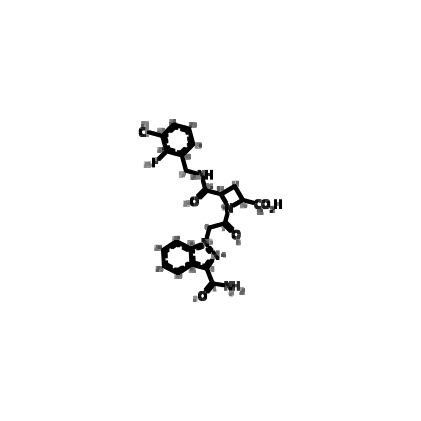 NC(=O)c1nn(CC(=O)N2C(C(=O)O)CC2C(=O)NCc2cccc(Cl)c2F)c2ccccc12